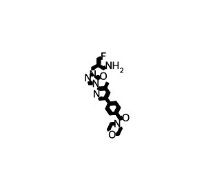 Cc1cc(-c2ccc(C(=O)N3CCOCC3)cc2)cnc1-n1cnn(C/C(=C/F)CN)c1=O